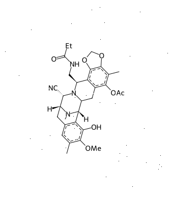 CCC(=O)NC[C@H]1c2c(c(OC(C)=O)c(C)c3c2OCO3)CC2[C@@H]3c4c(cc(C)c(OC)c4O)C[C@H]([C@H](C#N)N21)N3C